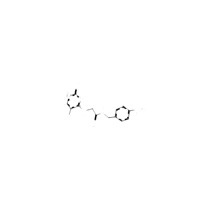 COc1ccc(CNC(=O)COc2nc(=O)[nH]cc2C)cc1